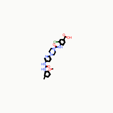 COc1ccc(C)cc1NC(=O)Nc1ccc(N2CCN(C(=O)Nc3ccc(C(=O)O)cc3Cl)CC2)nc1